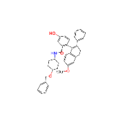 CC(C)(C)Oc1ccc2c(c1)CCC(c1ccccc1)=C2c1ccc(O)cc1C(=O)NC1CCC(OCc2ccccc2)CC1